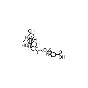 CC[C@H]1[C@@H](O)[C@@H]2[C@H](CC[C@]3(C)[C@@H]([C@H](C)CCOc4nc5ccc(C(=O)O)cc5s4)CC[C@@H]23)[C@@]2(C)CC[C@@H](O)C[C@@H]12